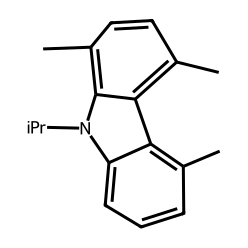 Cc1cccc2c1c1c(C)ccc(C)c1n2C(C)C